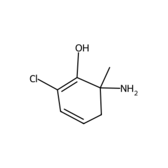 CC1(N)CC=CC(Cl)=C1O